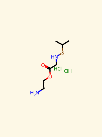 CC(C)SNCC(=O)OCCN.Cl.Cl